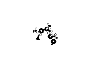 CC(=O)N1CC(c2ccc(OC(F)F)c(OCC3CC3)c2)C[C@]1(C)C(=O)Oc1cccc(C(=O)N(C)c2ccc(C)cc2)n1